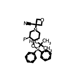 CC(C)(C)[Si](O[C@@H]1CCN(C2(C#N)COC2)C[C@@H]1F)(c1ccccc1)c1ccccc1